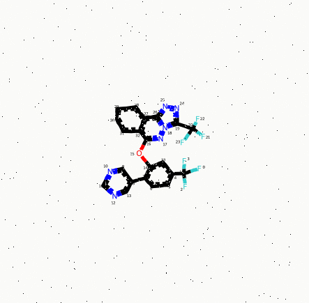 FC(F)(F)c1ccc(-c2cncnc2)c(Oc2nn3c(C(F)(F)F)nnc3c3ccccc23)c1